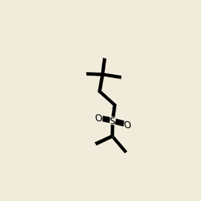 CC(C)S(=O)(=O)CCC(C)(C)C